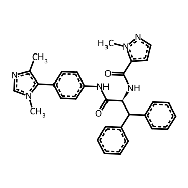 Cc1ncn(C)c1-c1ccc(NC(=O)[C@@H](NC(=O)c2ccnn2C)C(c2ccccc2)c2ccccc2)cc1